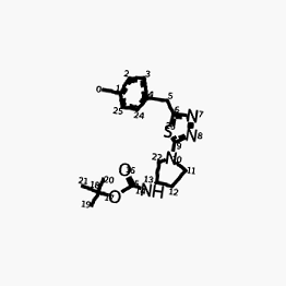 Cc1ccc(Cc2nnc(N3CC[C@H](NC(=O)OC(C)(C)C)C3)s2)cc1